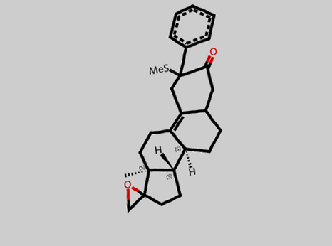 CSC1(c2ccccc2)CC2=C3CC[C@@]4(C)[C@@H](CCC45CO5)[C@@H]3CCC2CC1=O